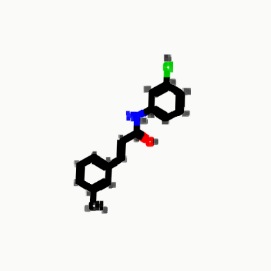 Cc1cccc(/C=C/C(=O)Nc2cccc(Cl)c2)c1